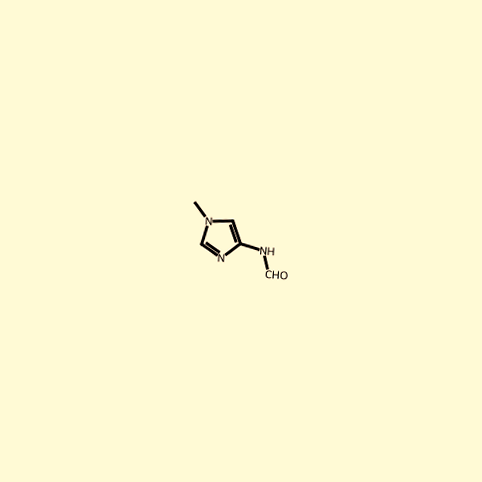 Cn1cnc(NC=O)c1